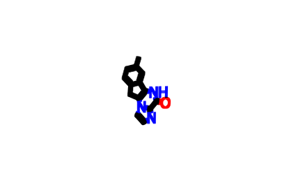 Cc1ccc2c(c1)-c1[nH]c(=O)c3nccn3c1C2